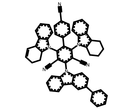 N#Cc1ccc(-c2c(-n3c4c(c5ccccc53)C=CCC4)c(C#N)c(-n3c4ccccc4c4cc(-c5ccccc5)ccc43)c(C#N)c2-n2c3c(c4ccccc42)CCCC3)cc1